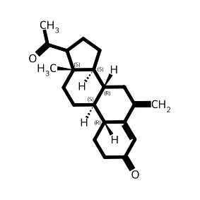 C=C1C[C@@H]2[C@H](CC[C@]3(C)C(C(C)=O)CC[C@@H]23)[C@H]2CCC(=O)C=C12